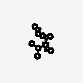 c1ccc(-c2cc(-c3ccccc3)cc(-c3nc(-n4c5ccccc5c5cc6c(ccc7c8ccccc8oc67)cc54)nc4c3oc3ccccc34)c2)cc1